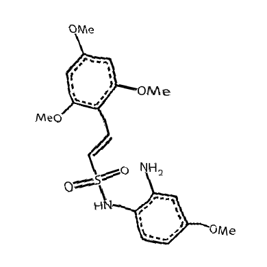 COc1ccc(NS(=O)(=O)C=Cc2c(OC)cc(OC)cc2OC)c(N)c1